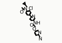 CC(=O)N(CC1CC1)c1ccc(-c2ccc(NC(=O)COc3ccc(C#N)nc3)cn2)cc1Cl